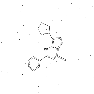 O=c1cc(-c2ccccc2)[nH]c2c(C3CCCC3)cnn12